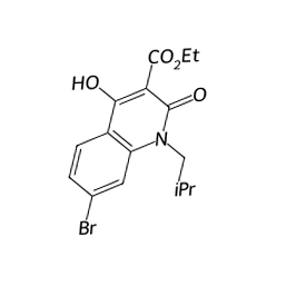 CCOC(=O)c1c(O)c2ccc(Br)cc2n(CC(C)C)c1=O